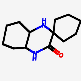 O=C1NC2CCCCC2NC12CCCCC2